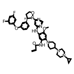 C=CC(=O)Nc1cc(Nc2cc(N3OCC[C@@H]3c3cccc(Oc4cc(F)cc(F)c4)c3)ncn2)c(OC)cc1N1CCC(N2CCN(C3CC3)CC2)CC1